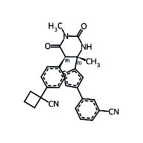 CN1C(=O)N[C@](C)(c2cc(-c3cccc(C#N)c3)cs2)[C@@H](c2ccc(C3(C#N)CCC3)cc2)C1=O